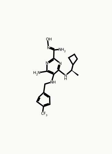 C[C@@H](Nc1nc(/C(N)=N/O)nc(N)c1NCc1ccc(C(F)(F)F)cc1)C1CCC1